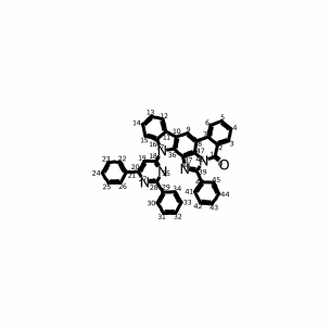 O=c1c2ccccc2c2cc3c4ccccc4n(-c4cc(-c5ccccc5)nc(-c5ccccc5)n4)c3c3nc(-c4ccccc4)n1c23